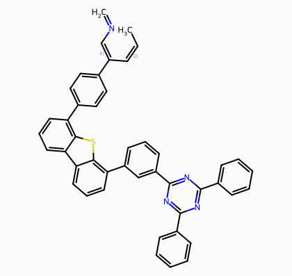 C=N/C=C(\C=C/C)c1ccc(-c2cccc3c2sc2c(-c4cccc(-c5nc(-c6ccccc6)nc(-c6ccccc6)n5)c4)cccc23)cc1